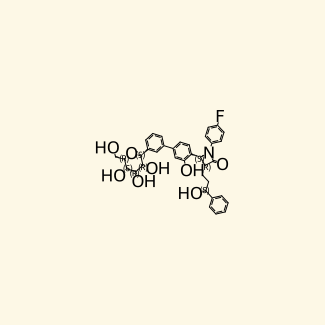 O=C1[C@H](CC[C@H](O)c2ccccc2)[C@@H](c2ccc(-c3cccc([C@@H]4O[C@H](CO)[C@@H](O)[C@H](O)[C@H]4O)c3)cc2O)N1c1ccc(F)cc1